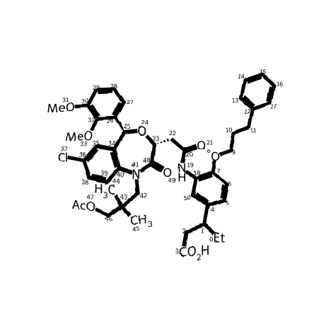 CCC(CC(=O)O)c1ccc(OCCCc2ccccc2)c(NC(=O)C[C@H]2O[C@H](c3cccc(OC)c3OC)c3cc(Cl)ccc3N(CC(C)(C)COC(C)=O)C2=O)c1